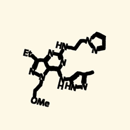 CCc1nn(CCOC)c2c(Nc3cc(C)n[nH]3)nc(NCCn3cccn3)nc12